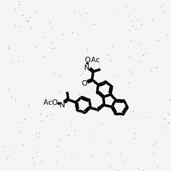 CC(=O)O/N=C(\C)C(=O)c1ccc2c(c1)/C(=C\c1ccc(/C(C)=N/OC(C)=O)cc1)c1ccccc1-2